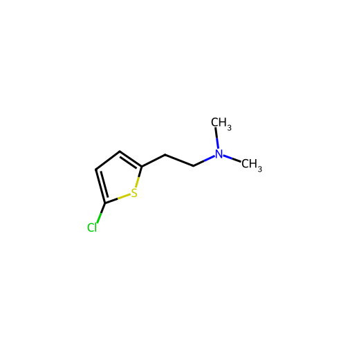 CN(C)CCc1ccc(Cl)s1